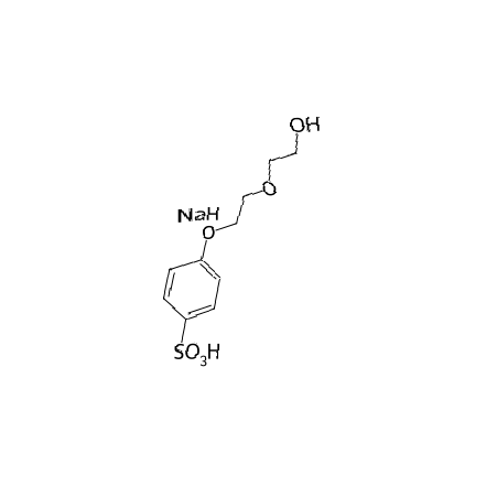 O=S(=O)(O)c1ccc(OCCOCCO)cc1.[NaH]